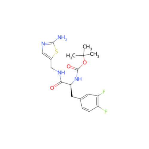 CC(C)(C)OC(=O)N[C@@H](Cc1ccc(F)c(F)c1)C(=O)NCc1cnc(N)s1